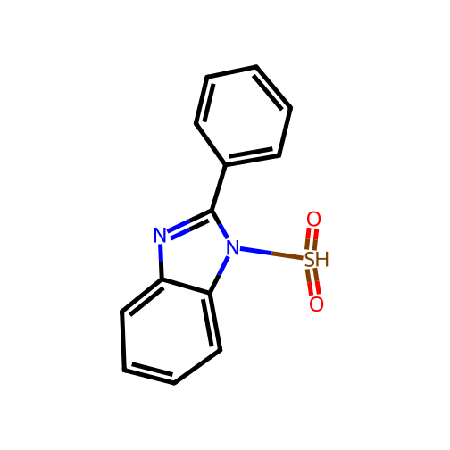 O=[SH](=O)n1c(-c2ccccc2)nc2ccccc21